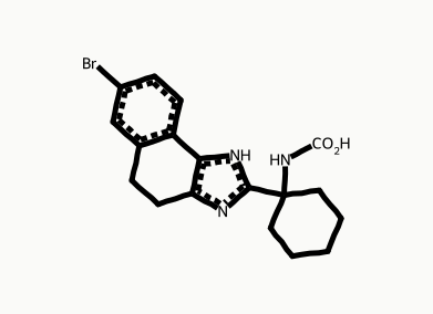 O=C(O)NC1(c2nc3c([nH]2)-c2ccc(Br)cc2CC3)CCCCC1